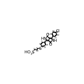 O=C1NC(c2ccc(SCCCS(=O)(=O)O)cc2)=C2C(=O)NC(c3ccc(Cl)cc3)=C12